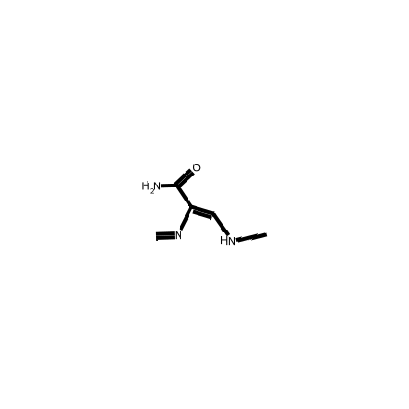 C=N/C(=C\NC)C(N)=O